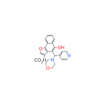 O=C(O)c1coc2c1c(C(c1ccncc1)N1CCOCC1)c(O)c1ccccc12